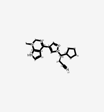 CN1CN=C(c2cnn([C@H](CC#N)C3CCCC3)c2)c2cc[nH]c21